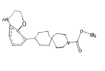 CC(C)(C)OC(=O)N1CCC2(CCC(c3cccc4c3OCCN4)CC2)CC1